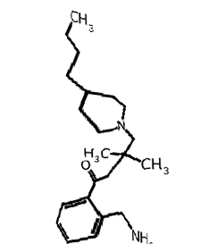 CCCCC1CCN(CC(C)(C)CC(=O)c2ccccc2CN)CC1